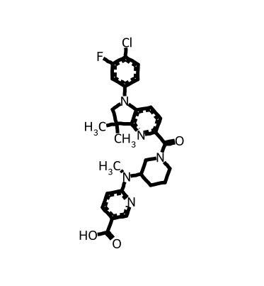 CN(c1ccc(C(=O)O)cn1)C1CCCN(C(=O)c2ccc3c(n2)C(C)(C)CN3c2ccc(Cl)c(F)c2)C1